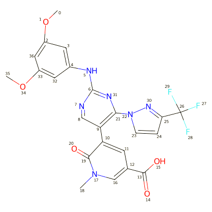 COc1cc(Nc2ncc(-c3cc(C(=O)O)cn(C)c3=O)c(-n3ccc(C(F)(F)F)n3)n2)cc(OC)c1